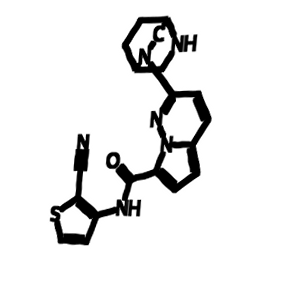 N#Cc1sccc1NC(=O)c1ccc2ccc(N3CC4CCC3CN4)nn12